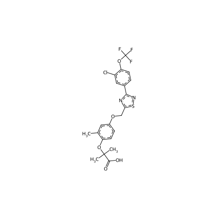 Cc1cc(OCc2nc(-c3ccc(OC(F)(F)F)c(Cl)c3)ns2)ccc1OC(C)(C)C(=O)O